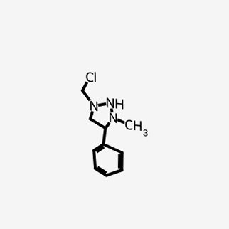 CN1NN(CCl)CC1c1ccccc1